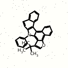 CC(C)(C)c1coc2c3ccccc3c3c4c5ccccc5ccc4n(-c4ccccc4)c3c12